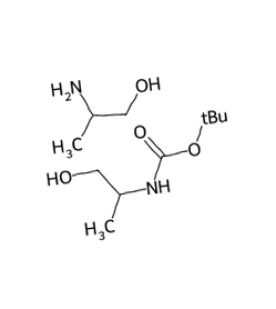 CC(CO)NC(=O)OC(C)(C)C.CC(N)CO